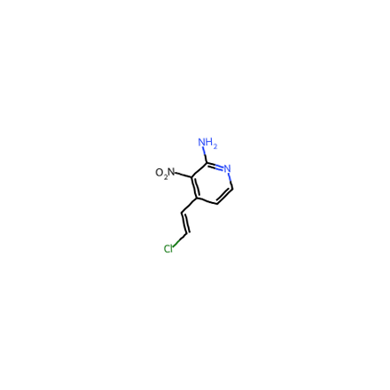 Nc1nccc(/C=C/Cl)c1[N+](=O)[O-]